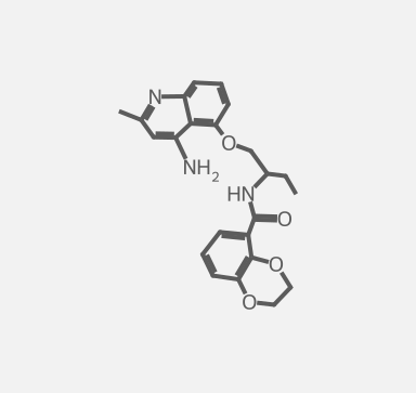 CCC(COc1cccc2nc(C)cc(N)c12)NC(=O)c1cccc2c1OCCO2